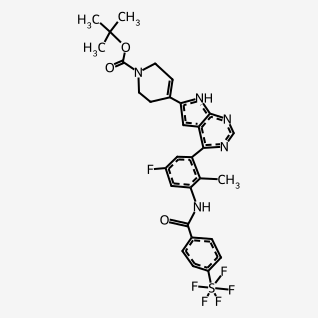 Cc1c(NC(=O)c2ccc(S(F)(F)(F)(F)F)cc2)cc(F)cc1-c1ncnc2[nH]c(C3=CCN(C(=O)OC(C)(C)C)CC3)cc12